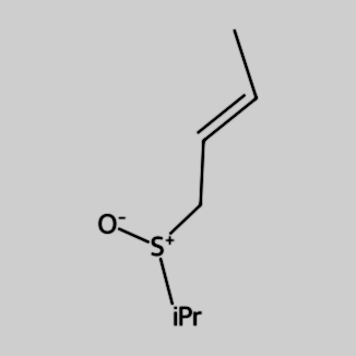 CC=CC[S+]([O-])C(C)C